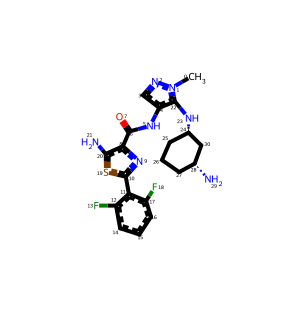 Cn1ncc(NC(=O)c2nc(-c3c(F)cccc3F)sc2N)c1N[C@H]1CCC[C@@H](N)C1